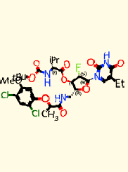 CCc1cn([C@@H]2O[C@H](CNC(=O)C(C)Oc3cc(OC)c(Cl)cc3Cl)[C@@H](OC(=O)[C@H](NC(=O)OC(C)(C)C)C(C)C)[C@@H]2F)c(=O)[nH]c1=O